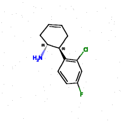 N[C@@H]1CC=CC[C@H]1c1ccc(F)cc1Cl